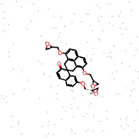 O=C1C=Cc2ccc(OC[C@@H]3CO3)cc2C12Cc1c(OCC3CO3)ccc3ccc(OCC4CO4)c(c13)C2